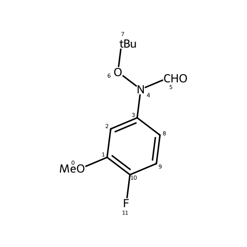 COc1cc(N(C=O)OC(C)(C)C)ccc1F